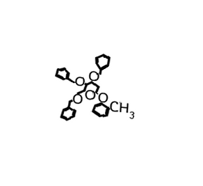 Cc1ccccc1O[C@H]1C[C@@H](OCc2ccccc2)C(OCc2ccccc2)C(COCc2ccccc2)O1